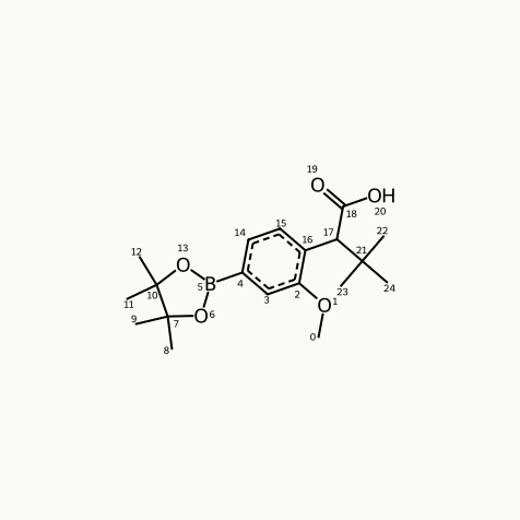 COc1cc(B2OC(C)(C)C(C)(C)O2)ccc1C(C(=O)O)C(C)(C)C